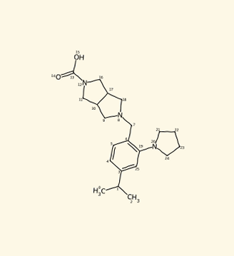 CC(C)c1ccc(CN2CC3CN(C(=O)O)CC3C2)c(N2CCCC2)c1